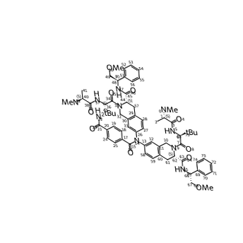 CN[C@@H](C)C(=O)N[C@H](C(=O)N1Cc2cc(N(C(=O)c3ccc(C(N)=O)cc3)c3ccc4c(c3)CN(C(=O)[C@@H](NC(=O)[C@H](C)NC)C(C)(C)C)[C@H](C(=O)N[C@@H](COC)c3ccccc3)C4)ccc2C[C@H]1C(=O)N[C@@H](COC)c1ccccc1)C(C)(C)C